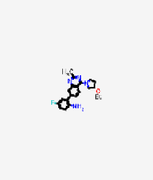 CCO[C@H]1CCN(c2nc(C)nc3cc(-c4cc(F)ccc4N)ccc23)C1